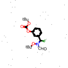 CC(C)(C)OC(=O)Oc1cccc(C(F)N(C=O)OC(C)(C)C)c1